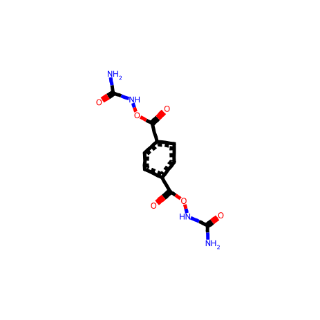 NC(=O)NOC(=O)c1ccc(C(=O)ONC(N)=O)cc1